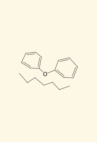 CCCCCCC.c1ccc(Oc2ccccc2)cc1